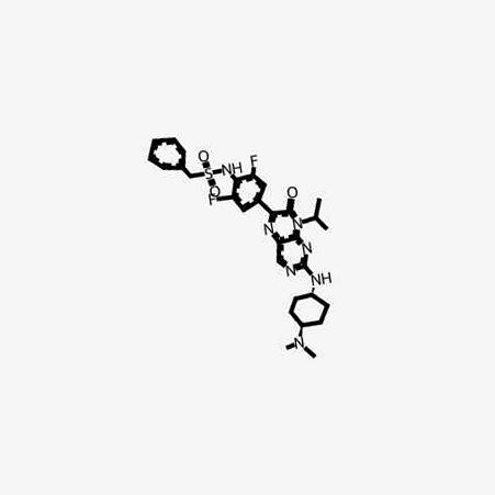 CC(C)n1c(=O)c(-c2cc(F)c(NS(=O)(=O)Cc3ccccc3)c(F)c2)nc2cnc(N[C@H]3CC[C@H](N(C)C)CC3)nc21